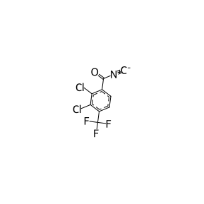 [C-]#[N+]C(=O)c1ccc(C(F)(F)F)c(Cl)c1Cl